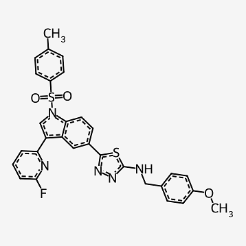 COc1ccc(CNc2nnc(-c3ccc4c(c3)c(-c3cccc(F)n3)cn4S(=O)(=O)c3ccc(C)cc3)s2)cc1